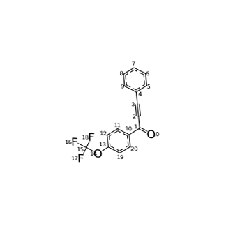 O=C(C#Cc1ccccc1)c1ccc(OC(F)(F)F)cc1